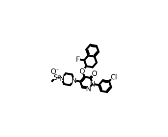 C[S+]([O-])N1CCN(c2cnn(-c3cccc(Cl)c3)c(=O)c2OC2CCc3ccccc3C2F)CC1